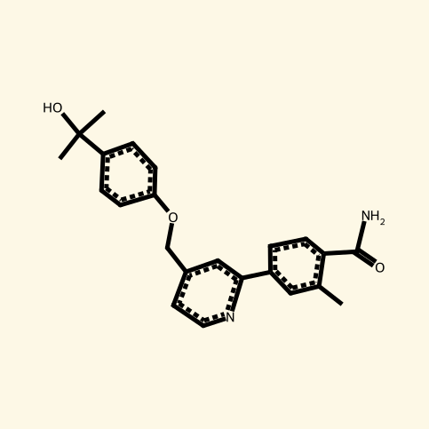 Cc1cc(-c2cc(COc3ccc(C(C)(C)O)cc3)ccn2)ccc1C(N)=O